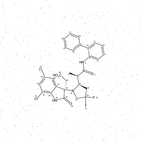 C[C@@H](C(=O)Nc1ccccc1-c1ccccc1)[C@H]1CC(F)(F)CN1[C@@]1(CC(=O)O)C(=O)Nc2c(Cl)cc(Cl)cc21